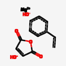 C=Cc1ccccc1.O=C1C=CC(=O)O1.[Mg+2].[OH-].[OH-]